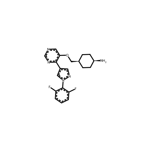 N[C@H]1CC[C@@H](COc2cncnc2-c2cnn(-c3c(F)cccc3F)c2)CC1